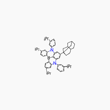 CC(C)c1cccc(N2c3cc(C(C)C)ccc3B3c4ccc(C(C)C)cc4N(c4cccc(C(C)C)c4)c4cc(C56CCC7CCC(CC7C5)C6)cc2c43)c1